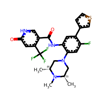 C[C@@H]1CN(c2cc(F)c(-c3ccsc3)cc2NC(=O)c2c[nH]c(=O)cc2C(F)(F)F)C[C@H](C)N1C